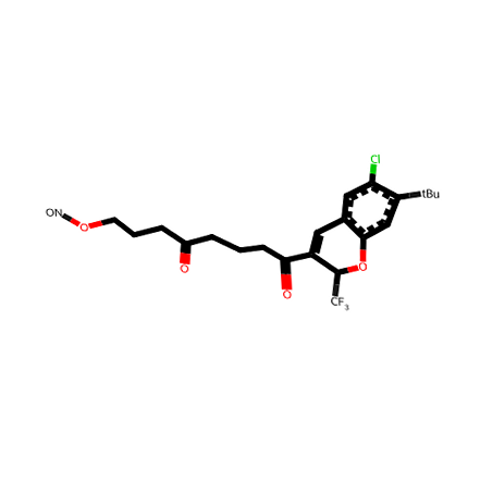 CC(C)(C)c1cc2c(cc1Cl)C=C(C(=O)CCCC(=O)CCCON=O)C(C(F)(F)F)O2